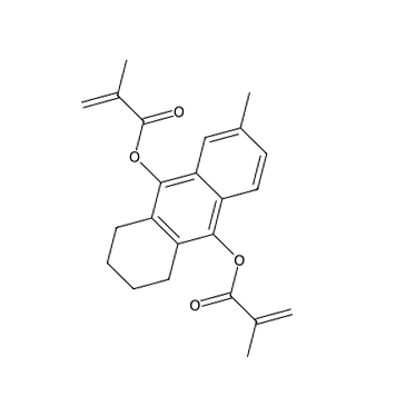 C=C(C)C(=O)Oc1c2c(c(OC(=O)C(=C)C)c3cc(C)ccc13)CCCC2